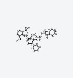 COc1cccc(C2(CNc3ncc(-c4ccccc4)n(CC(=O)NCc4cc5cnccc5[nH]4)c3=O)CC2)c1